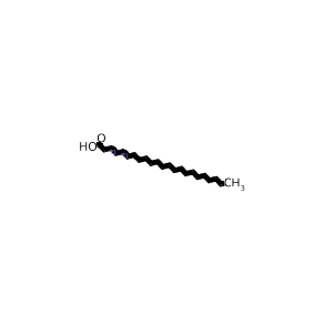 CCCCCCCCCCCCCCCCC/C=C/C=C/CC(=O)O